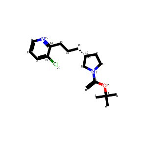 C=C(OC(C)(C)C)N1CC[C@@H](CCCc2ncccc2Cl)C1